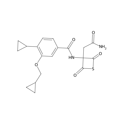 NC(=O)CC1(NC(=O)c2ccc(C3CC3)c(OCC3CC3)c2)C(=O)SC1=O